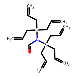 C=CC[Si](CC=C)(CC=C)N(C=O)[Si](CC=C)(CC=C)CC=C